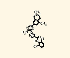 Cc1cc(-c2cnc(N)c(-n3cc(C(=O)Nc4c(Cl)cccc4Cl)cn3)n2)cc2c1CCN(C)C2